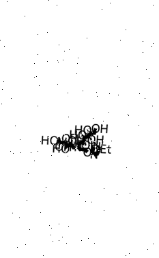 CCc1cnc(OCCN(C[C@H](O)[C@@H](O)[C@H](O)[C@H](O)CO)C[C@H](O)[C@@H](O)[C@H](O)[C@H](O)CO)cn1